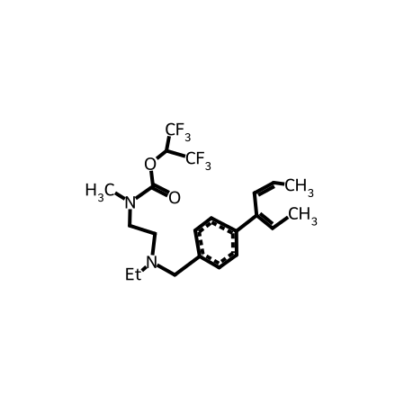 C/C=C\C(=C/C)c1ccc(CN(CC)CCN(C)C(=O)OC(C(F)(F)F)C(F)(F)F)cc1